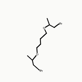 CC(C)CC(C)OCCCCOC(C)CC(C)C